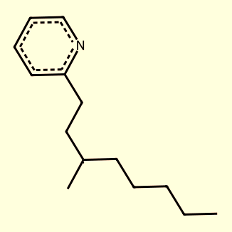 CCCCC[C](C)CCc1ccccn1